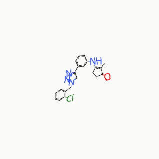 CC1=C(Nc2cccc(-c3cn(Cc4ccccc4Cl)nn3)c2)CCC1=O